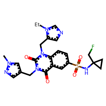 CCn1cncc1Cn1c(=O)n(Cc2cnn(C)c2)c(=O)c2cc(S(=O)(=O)NC3(CF)CC3)ccc21